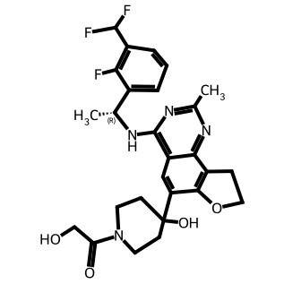 Cc1nc(N[C@H](C)c2cccc(C(F)F)c2F)c2cc(C3(O)CCN(C(=O)CO)CC3)c3c(c2n1)CCO3